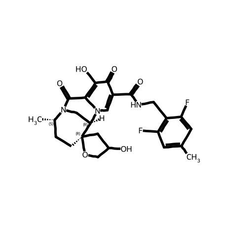 Cc1cc(F)c(CNC(=O)c2cn3c(c(O)c2=O)C(=O)N2C[C@@H]3[C@@]3(CC[C@@H]2C)CC(O)CO3)c(F)c1